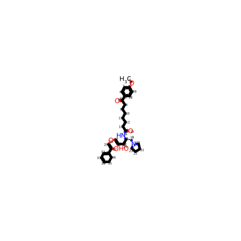 COc1ccc(C(=O)CCCCCCC(=O)N[C@H](CN2CCCC2)[C@@H](O)C2=COC=C(C3=CC=CCC3)O2)cc1